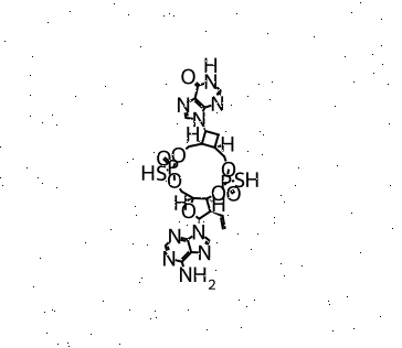 C=C[C@@H]1[C@@H]2OP(=O)(S)OC[C@H]3C[C@@H](n4cnc5c(=O)[nH]cnc54)[C@@H]3COP(=O)(S)OC[C@H]2O[C@H]1n1cnc2c(N)ncnc21